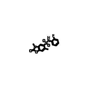 Cc1cc2oc(=O)n(C)c2cc1S(=O)(=O)Nc1ccccc1F